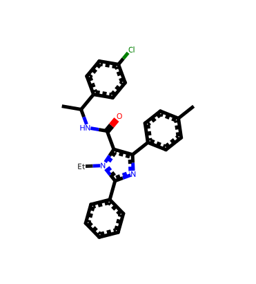 CCn1c(-c2ccccc2)nc(-c2ccc(C)cc2)c1C(=O)NC(C)c1ccc(Cl)cc1